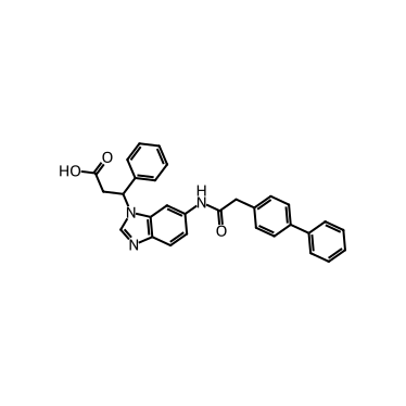 O=C(O)CC(c1ccccc1)n1cnc2ccc(NC(=O)Cc3ccc(-c4ccccc4)cc3)cc21